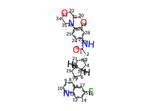 O=C(C[C@@H]1C[C@@H]2C[C@H](c3ccnc4ccc(F)cc34)C[C@@H]2C1)Nc1ccc2c(c1)OCC1COCCN21